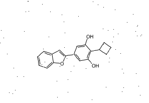 Oc1cc(-c2cc3ccccc3o2)cc(O)c1C1CCC1